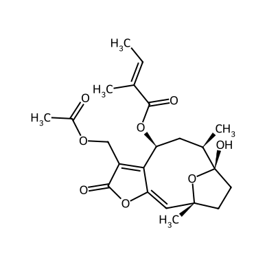 C/C=C(\C)C(=O)O[C@H]1C[C@@H](C)[C@]2(O)CC[C@](C)(/C=C3/OC(=O)C(COC(C)=O)=C31)O2